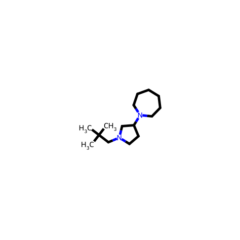 CC(C)(C)CN1CCC(N2CCCCCC2)C1